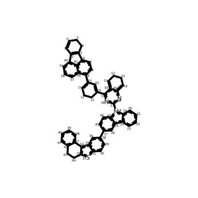 C1=CC2=C(CC1)c1ccc(C3=CCCC(c4nc(-n5c6ccccc6c6cc(-c7ccc8sc9c(c8c7)-c7ccccc7CC9)ccc65)nc5c4=CCCC=5)=C3)c3cccc2c13